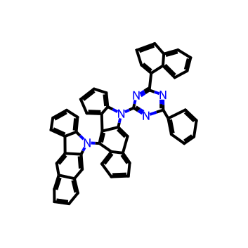 c1ccc(-c2nc(-c3cccc4ccccc34)nc(-n3c4ccccc4c4c(-n5c6ccccc6c6cc7ccccc7cc65)c5ccccc5cc43)n2)cc1